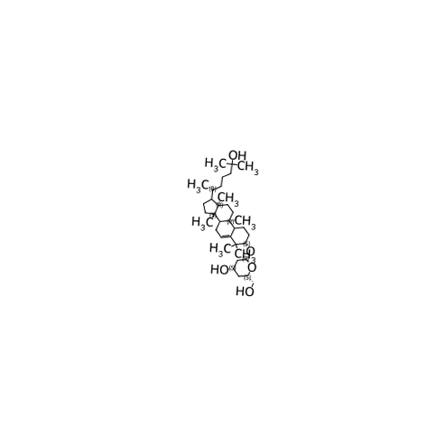 C[C@H](CCCC(C)(C)O)C1CC[C@@]2(C)C3CC=C4C(CC[C@H](O[C@H]5C[C@@H](O)C[C@@H](CO)O5)C4(C)C)[C@]3(C)CC[C@]12C